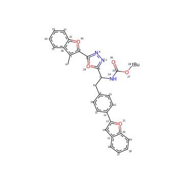 Cc1c(-c2nnc(C(Cc3ccc(-c4cc5ccccc5o4)cc3)NC(=O)OC(C)(C)C)o2)oc2ccccc12